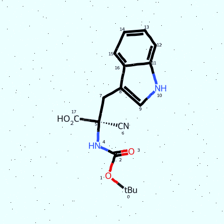 CC(C)(C)OC(=O)N[C@](C#N)(Cc1c[nH]c2ccccc12)C(=O)O